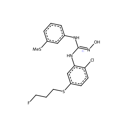 CSc1cccc(N/C(=N\O)Nc2cc(SCCCF)ccc2Cl)c1